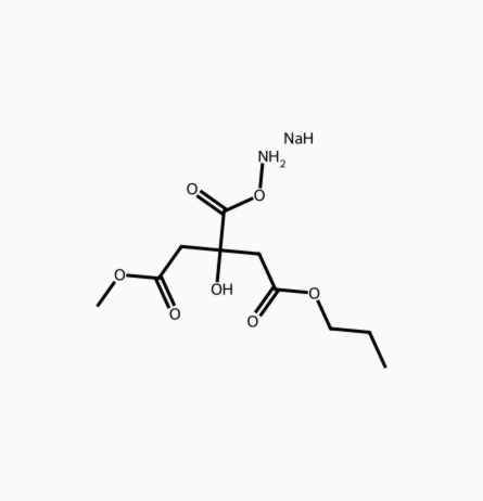 CCCOC(=O)CC(O)(CC(=O)OC)C(=O)ON.[NaH]